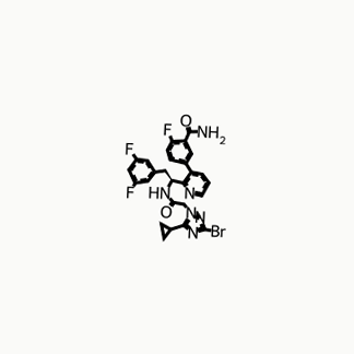 NC(=O)c1cc(-c2cccnc2[C@H](Cc2cc(F)cc(F)c2)NC(=O)Cn2nc(Br)nc2C2CC2)ccc1F